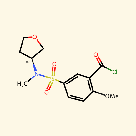 COc1ccc(S(=O)(=O)N(C)[C@H]2CCOC2)cc1C(=O)Cl